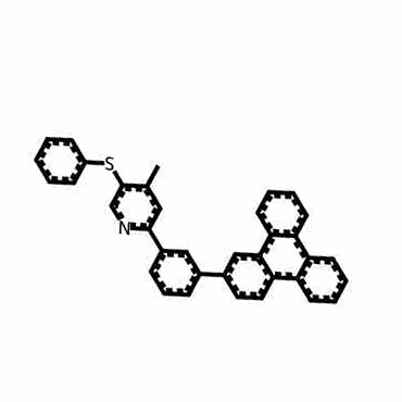 Cc1cc(-c2cccc(-c3ccc4c5ccccc5c5ccccc5c4c3)c2)ncc1Sc1ccccc1